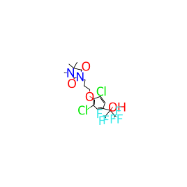 CN1C(=O)N(CCCOc2c(Cl)cc(C(O)(C(F)(F)F)C(F)(F)F)cc2Cl)C(=O)C1(C)C